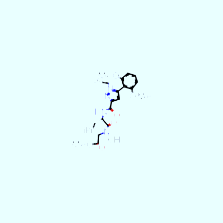 COC(=O)CN(C)C(=O)[C@H](CC(C)C)NC(=O)c1cc(-c2c(OC)cccc2OC)n(CC(C)C)n1